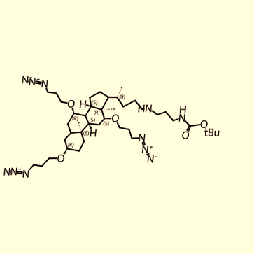 C[C@H](CCCNCCCNC(=O)OC(C)(C)C)C1CC[C@H]2C3[C@H](OCCCN=[N+]=[N-])CC4C[C@H](OCCCN=[N+]=[N-])CC[C@]4(C)[C@H]3C[C@H](OCCCN=[N+]=[N-])[C@]12C